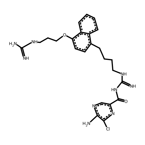 N=C(N)NCCCOc1ccc(CCCCNC(=N)NC(=O)c2cnc(N)c(Cl)n2)c2ccccc12